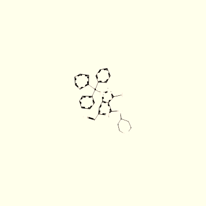 O=Cc1cc2c(c(I)nn2C(c2ccccc2)(c2ccccc2)c2ccccc2)c(OC2CCOCC2)n1